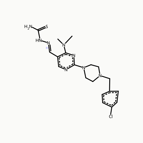 CN(C)c1nc(N2CCN(Cc3ccc(Cl)cc3)CC2)ncc1/C=N/NC(N)=S